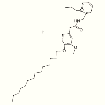 CCCCCCCCCCCCCCOc1ccc(CC(=O)NCc2cccc[n+]2CCC)cc1OC.[I-]